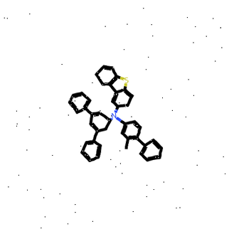 Cc1cc(N(C2C=c3c4c(sc3=CC2)C=CCC4)C2C=C(c3ccccc3)C=C(c3ccccc3)C2)ccc1-c1ccccc1